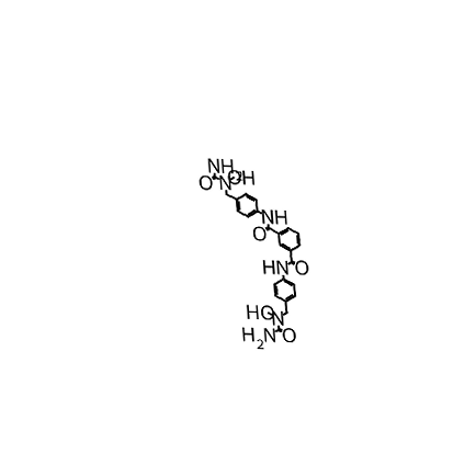 NC(=O)N(O)Cc1ccc(NC(=O)c2cccc(C(=O)Nc3ccc(CN(O)C(N)=O)cc3)c2)cc1